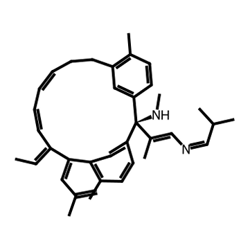 C=C(C)/C=C1C(=C/C)/C=C\C=CCCc2cc(ccc2C)[C@](NC)(/C(C)=C/N=C\C(C)C)c2ccc(C)c/1c2